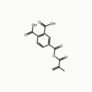 C=C(C)C(=O)OC(=O)c1ccc(C(=O)O)c(C(=O)O)c1